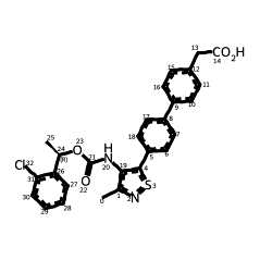 Cc1nsc(-c2ccc(-c3ccc(CC(=O)O)cc3)cc2)c1NC(=O)O[C@H](C)c1ccccc1Cl